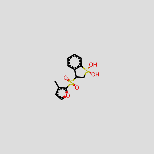 Cc1ccoc1S(=O)(=O)C1CS(O)(O)c2ccccc21